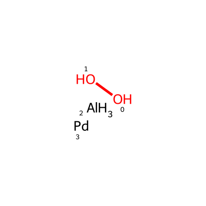 OO.[AlH3].[Pd]